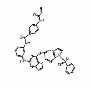 C=CC(=O)Nc1ccc(C(=O)Nc2cccc(Nc3nc(Oc4cnc5c(ccn5S(=O)(=O)c5ccccc5)c4)c4sccc4n3)c2)cc1